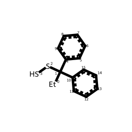 CCC(SS)(c1ccccc1)c1ccccc1